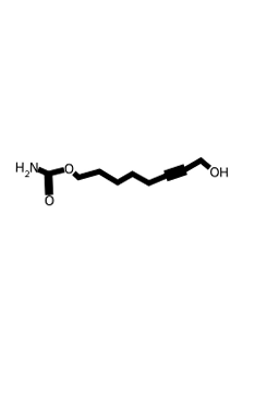 NC(=O)OCCCCCC#CCO